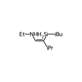 CCNC=C([SiH2]C(C)CC)C(C)C